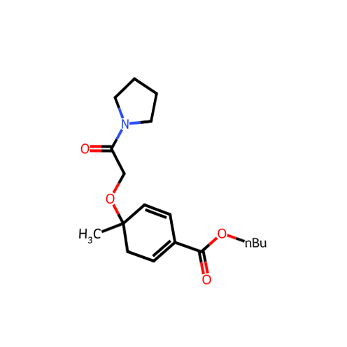 CCCCOC(=O)C1=CCC(C)(OCC(=O)N2CCCC2)C=C1